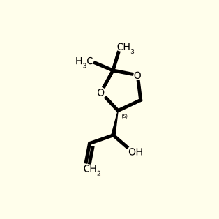 C=CC(O)[C@@H]1COC(C)(C)O1